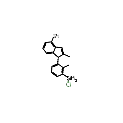 CC1=Cc2c(C(C)C)cccc2C1c1cccc([SiH2]Cl)c1C